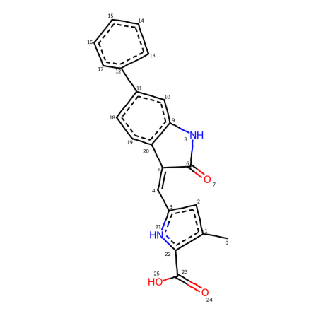 Cc1cc(/C=C2\C(=O)Nc3cc(-c4ccccc4)ccc32)[nH]c1C(=O)O